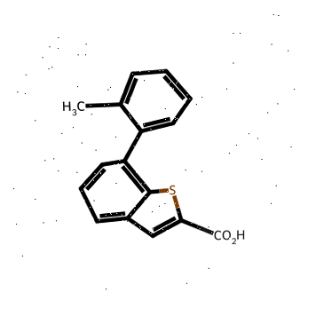 Cc1ccccc1-c1cccc2cc(C(=O)O)sc12